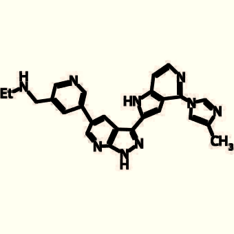 CCNCc1cncc(-c2cnc3[nH]nc(-c4cc5c(-n6cnc(C)c6)nccc5[nH]4)c3c2)c1